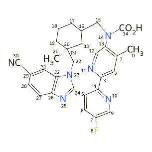 Cc1cc(-c2ccc(F)cn2)ncc1N(CC1CCC[C@](C)(Cn2cnc3ccc(C#N)cc32)C1)C(=O)O